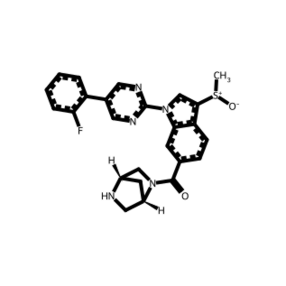 C[S+]([O-])c1cn(-c2ncc(-c3ccccc3F)cn2)c2cc(C(=O)N3C[C@@H]4C[C@H]3CN4)ccc12